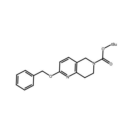 CC(C)(C)OC(=O)N1CCc2nc(OCc3ccccc3)ccc2C1